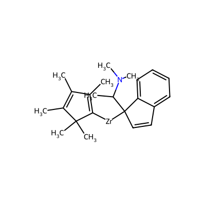 CC1=C(C)C(C)(C)[C]([Zr][C]2(C(C)N(C)C)C=Cc3ccccc32)=C1C